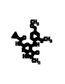 COCc1ccc(Nc2cc(NC(=O)C3CC3)nc3[nH]n(C)c(=O)c23)c(SC)c1